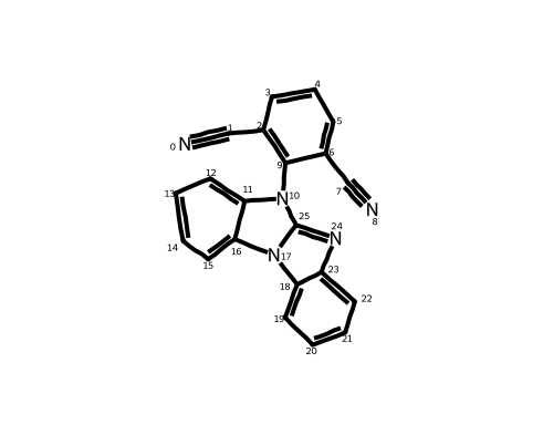 N#Cc1cccc(C#N)c1-n1c2ccccc2n2c3ccccc3nc12